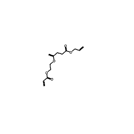 C=CCOC(=O)CCC(=C)OCCOC(=O)C=C